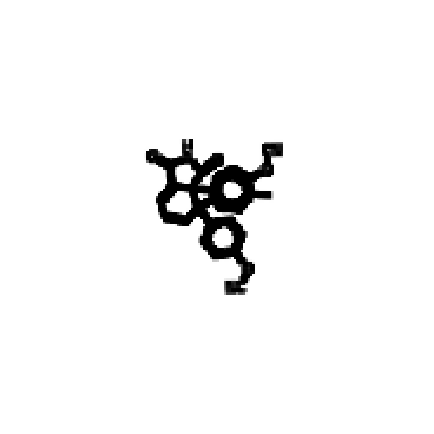 Cc1ccc(C23C(=O)NC(=O)C2=CC=CC3(c2ccc(OC#N)cc2)c2ccc(OC#N)cc2)cc1